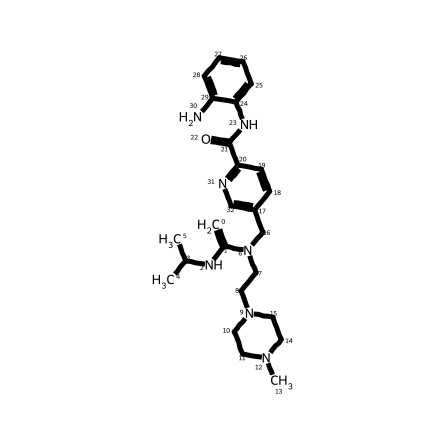 C=C(NC(C)C)N(CCN1CCN(C)CC1)Cc1ccc(C(=O)Nc2ccccc2N)nc1